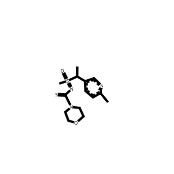 Cc1ccc(C(C)S(C)(=O)=NC(=S)N2CCOCC2)cn1